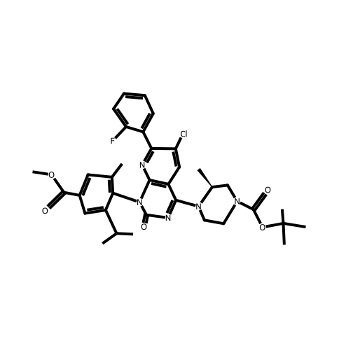 COC(=O)c1cc(C)c(-n2c(=O)nc(N3CCN(C(=O)OC(C)(C)C)C[C@@H]3C)c3cc(Cl)c(-c4ccccc4F)nc32)c(C(C)C)c1